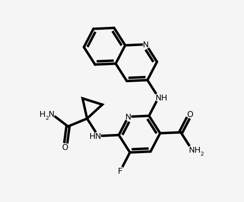 NC(=O)c1cc(F)c(NC2(C(N)=O)CC2)nc1Nc1cnc2ccccc2c1